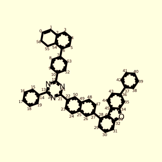 C1=Cc2cccc(-c3ccc(-c4nc(-c5ccccc5)nc(-c5ccc6cc(-c7cccc8oc9cc(-c%10ccccc%10)ccc9c78)ccc6c5)n4)cc3)c2CC1